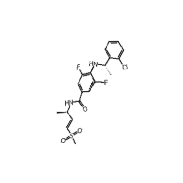 C[C@H](/C=C/S(C)(=O)=O)NC(=O)c1cc(F)c(N[C@@H](C)c2ccccc2Cl)c(F)c1